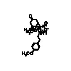 COc1ccc(CCNC2=C([N+](=O)[O-])C3CC(=O)CC(C)(N2)C3(OC)OC)cc1